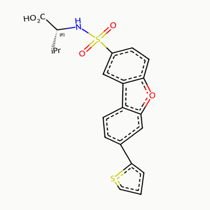 CC(C)[C@@H](NS(=O)(=O)c1ccc2oc3cc(-c4cccs4)ccc3c2c1)C(=O)O